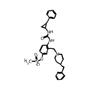 CS(=O)(=O)Oc1ccc(NC(=O)NC2CC2c2ccccc2)c(CN2CCC(Cc3ccccc3)CC2)c1